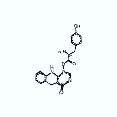 N[C@@H](Cc1ccc(O)cc1)C(=O)On1cnc(=O)c2c1Nc1ccccc1C2